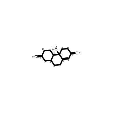 O=C1C=C2CCC3CC(=O)CCC3C2(O)CC1